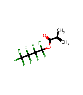 C=C(C)C(=O)OC(F)(F)C(F)(F)C(F)(F)C(F)(F)F